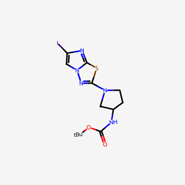 CC(C)(C)OC(=O)NC1CCN(c2nn3cc(I)nc3s2)C1